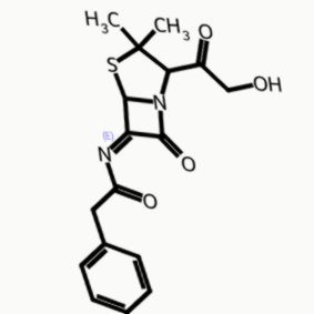 CC1(C)SC2/C(=N/C(=O)Cc3ccccc3)C(=O)N2C1C(=O)CO